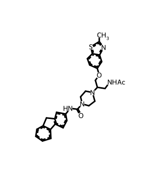 CC(=O)NCC(COc1ccc2sc(C)nc2c1)N1CCN(C(=O)Nc2ccc3c(c2)Cc2ccccc2-3)CC1